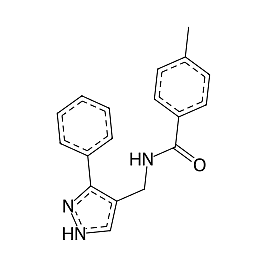 Cc1ccc(C(=O)NCc2c[nH]nc2-c2ccccc2)cc1